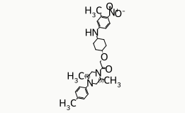 Cc1ccc(N2C[C@H](C)N(C(=O)CO[C@H]3CC[C@H](Nc4ccc([N+](=O)[O-])c(C)c4)CC3)C[C@H]2C)cc1